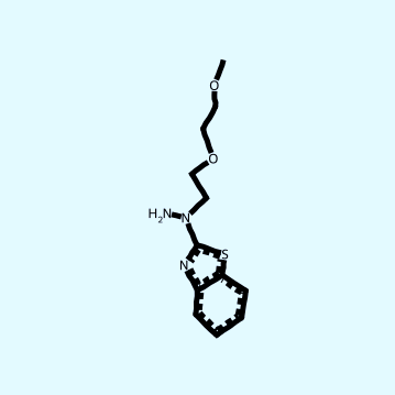 COCCOCCN(N)c1nc2ccccc2s1